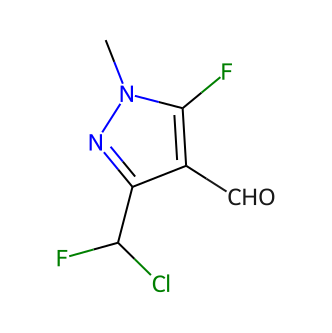 Cn1nc(C(F)Cl)c(C=O)c1F